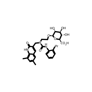 Cc1cc(C)c2[nH]c(=O)c(CN(CCO[C@@H]3O[C@H](C(=O)O)[C@@H](O)[C@H](O)[C@H]3O)C(=O)Nc3ccccc3C(C)C)cc2c1